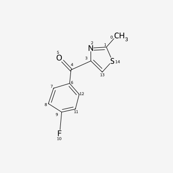 Cc1nc(C(=O)c2ccc(F)cc2)cs1